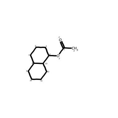 CC(=O)OC1CCCC2CCCCC21